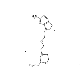 CCC1CN(CCOCCN2CCc3ccc(N)cc32)CCO1